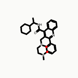 CC(NC(=O)c1c(CN2CCN(C)CC2)c(-c2ccccc2)nc2ccccc12)C1CCCCC1